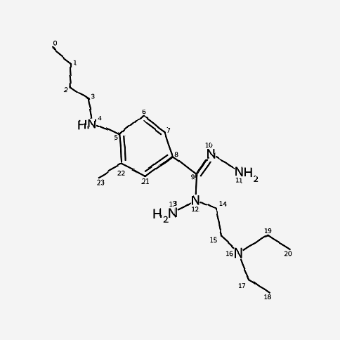 CCCCNc1ccc(/C(=N/N)N(N)CCN(CC)CC)cc1C